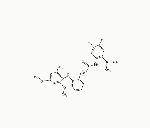 COc1cc(C)c(Nc2ncccc2/C=C/C(=O)Nc2cc(Cl)c(Cl)cc2N(C)C)c(OC)c1